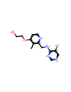 Cc1c(OCCO)ccnc1CNc1ncncc1Cl